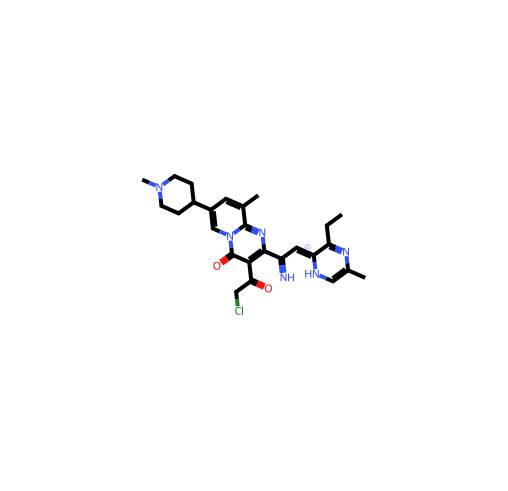 CCC1=NC(C)=CN/C1=C\C(=N)c1nc2c(C)cc(C3CCN(C)CC3)cn2c(=O)c1C(=O)CCl